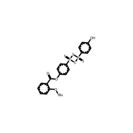 CC(C)(C)Oc1ccccc1C(=O)Oc1ccc(P2(=S)SP(=S)(c3ccc(O)cc3)S2)cc1